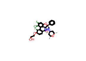 C[C@@H]1C[C@H](NC[C@@]2(c3ccccc3)Cc3c(cc(F)c(Cl)c3C3=C(C(N)=O)C=CC(OCCO)C3F)O2)C[C@H](C)O1